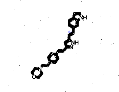 C(=Cc1cc(/C=C/c2ccc3cc[nH]c3c2)[nH]n1)c1ccc(CCN2CCOCC2)cc1